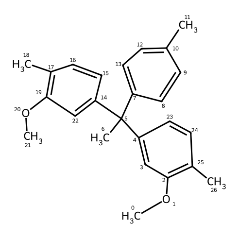 COc1cc(C(C)(c2ccc(C)cc2)c2ccc(C)c(OC)c2)ccc1C